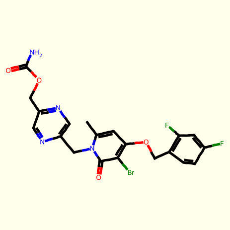 Cc1cc(OCc2ccc(F)cc2F)c(Br)c(=O)n1Cc1cnc(COC(N)=O)cn1